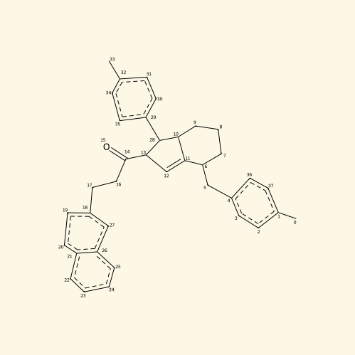 Cc1ccc(CC2CCCC3C2=CC(C(=O)CCc2ccc4ccccc4c2)C3c2ccc(C)cc2)cc1